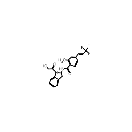 Cc1cc(C=CC(F)(F)F)ccc1C(=O)NC1Cc2ccccc2N1C(=O)CO